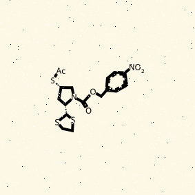 CC(=O)S[C@H]1C[C@@H](C2SCCS2)N(C(=O)OCc2ccc([N+](=O)[O-])cc2)C1